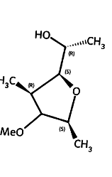 COC1[C@H](C)O[C@H]([C@@H](C)O)[C@@H]1C